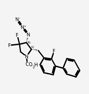 [N-]=[N+]=N[C@@H]1[C@H](Cc2cccc(-c3ccccc3)c2F)N(C(=O)O)CC1(F)F